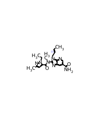 C/C=C/Cn1c(N(C)C(=O)c2cc(C)nn2CC)nc2cc(C(N)=O)cnc21